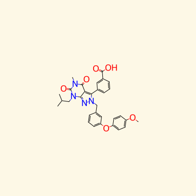 COc1ccc(Oc2cccc(Cn3nc4c(c3-c3cccc(C(=O)O)c3)c(=O)n(C)c(=O)n4CC(C)C)c2)cc1